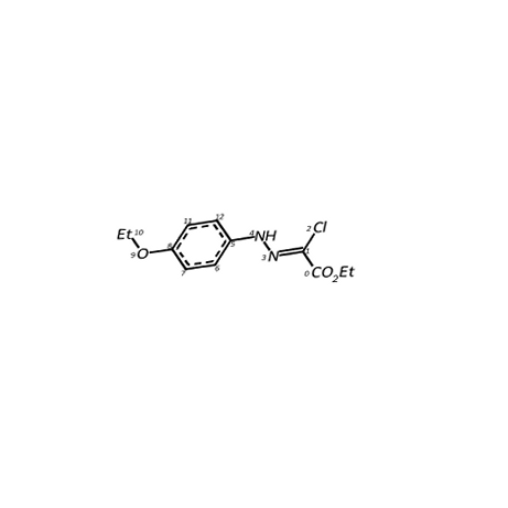 CCOC(=O)/C(Cl)=N/Nc1ccc(OCC)cc1